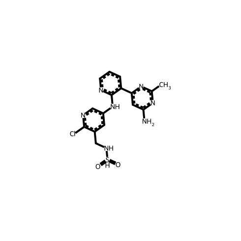 Cc1nc(N)cc(-c2cccnc2Nc2cnc(Cl)c(CN[SH](=O)=O)c2)n1